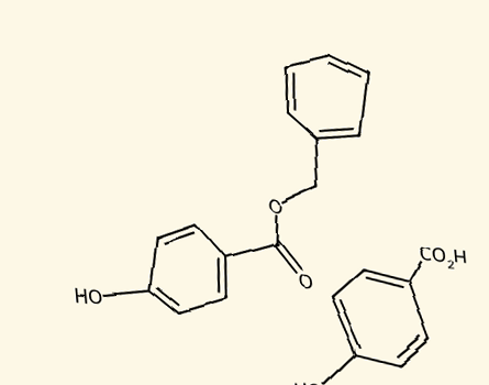 O=C(O)c1ccc(O)cc1.O=C(OCc1ccccc1)c1ccc(O)cc1